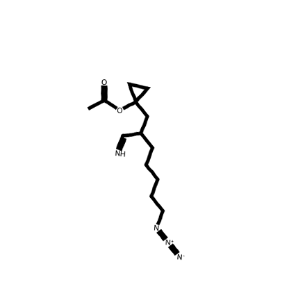 CC(=O)OC1(CC(C=N)CCCCCN=[N+]=[N-])CC1